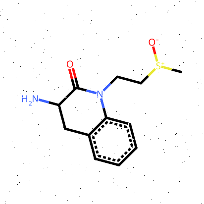 C[S+]([O-])CCN1C(=O)C(N)Cc2ccccc21